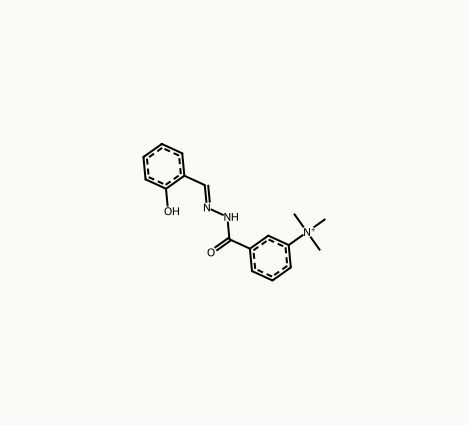 C[N+](C)(C)c1cccc(C(=O)N/N=C/c2ccccc2O)c1